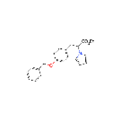 CCOC(=O)C(Cc1ccc(OCc2ccccc2)cc1)n1cccc1